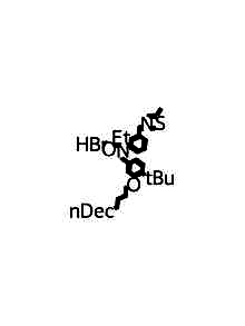 Br.CCCCCCCCCCCCCCOc1cc(CN(C(=O)CC)c2cccc(CN3C=C(C)SC3)c2)ccc1C(C)(C)C